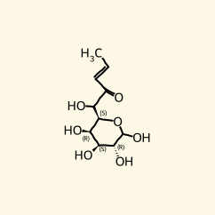 CC=CC(=O)C(O)[C@H]1OC(O)[C@H](O)[C@@H](O)[C@H]1O